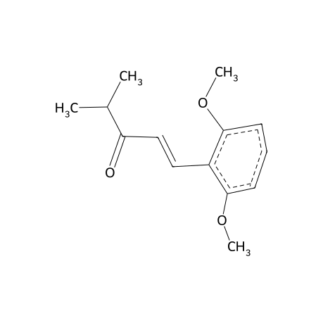 COc1cccc(OC)c1/C=C/C(=O)C(C)C